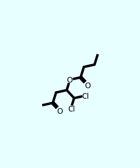 CCCC(=O)OC(CC(C)=O)C(Cl)Cl